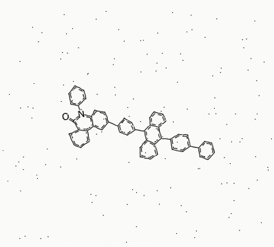 O=c1c2ccccc2c2cc(-c3ccc(-c4c5ccccc5c(-c5ccc(-c6ccccc6)cc5)c5ccccc45)cc3)ccc2n1-c1ccccc1